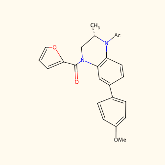 COc1ccc(-c2ccc3c(c2)N(C(=O)c2ccco2)C[C@H](C)N3C(C)=O)cc1